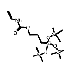 C=CNC(=O)OCCC[Si](O[Si](C)(C)C)(O[Si](C)(C)C)O[Si](C)(C)C